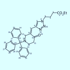 CCOC(=O)CCCn1cc(C=C2CN(C(c3ccccc3)(c3ccccc3)c3ccccc3)CCC2=O)nn1